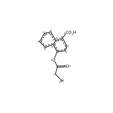 O=C(CBr)Oc1ccc(C(=O)O)c2ccccc12